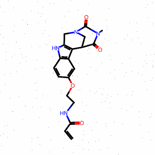 C=CC(=O)NCCOc1ccc2[nH]c3c(c2c1)C1CN(C3)C(=O)N(C)C1=O